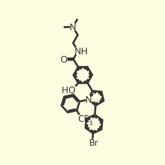 CN(C)CCNC(=O)c1ccc(-c2ccc(-c3ccc(Br)cc3)n2C2=C=C=CC=C2C(F)(F)F)c(O)c1